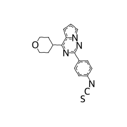 S=C=Nc1ccc(-c2nc(C3CCOCC3)c3cccn3n2)cc1